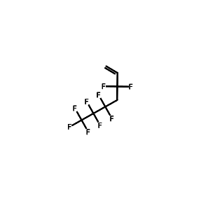 C=CC(F)(F)CC(F)(F)C(F)(F)C(F)(F)F